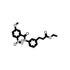 CCOC(=O)CCc1cccc(NC(=O)c2cc(OC)ccc2[N+](=O)[O-])c1